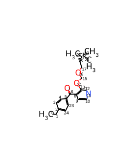 CCc1ccc(C(=O)c2ccncc2OCOCC[Si](C)(C)C)cc1